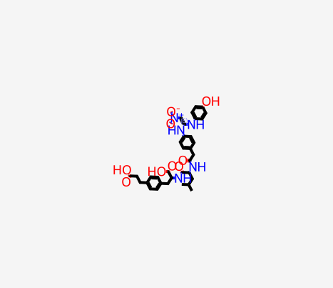 CC(C)CC(NC(=O)Cc1ccc(N/C(=C\[N+](=O)[O-])Nc2ccc(O)cc2)cc1)C(=O)NC(Cc1ccc(CCC(=O)O)cc1)C(=O)O